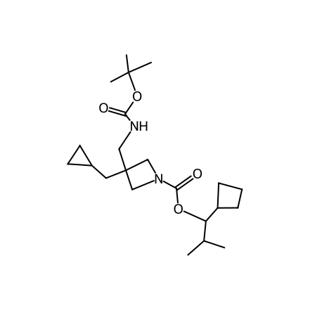 CC(C)C(OC(=O)N1CC(CNC(=O)OC(C)(C)C)(CC2CC2)C1)C1CCC1